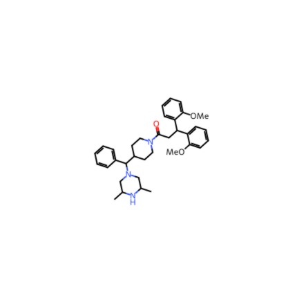 COc1ccccc1C(CC(=O)N1CCC(C(c2ccccc2)N2CC(C)NC(C)C2)CC1)c1ccccc1OC